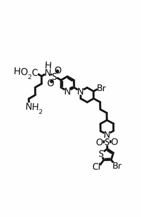 NCCCCC(NS(=O)(=O)c1ccc(N2CCC(CCCC3CCN(S(=O)(=O)c4cc(Br)c(Cl)s4)CC3)C(Br)C2)nc1)C(=O)O